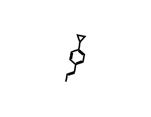 CC=Cc1ccc(C2CC2)cc1